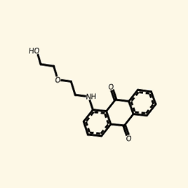 O=C1c2ccccc2C(=O)c2c(NCCOCCO)cccc21